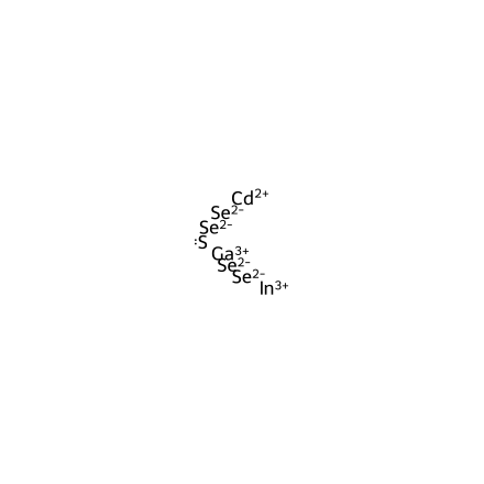 [Cd+2].[Ga+3].[In+3].[S].[Se-2].[Se-2].[Se-2].[Se-2]